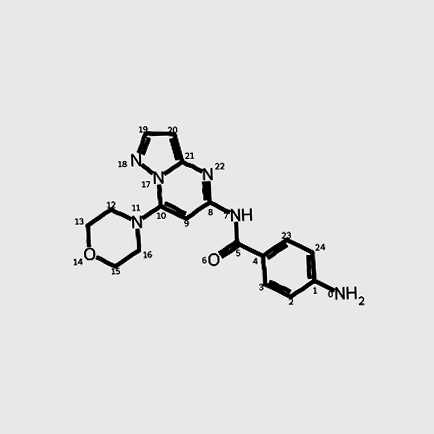 Nc1ccc(C(=O)Nc2cc(N3CCOCC3)n3nccc3n2)cc1